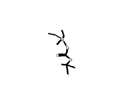 CC[Si](C)(CC)OC(=O)OC(C)(C)C